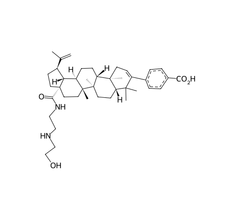 C=C(C)[C@@H]1CC[C@]2(C(=O)NCCNCCO)CC[C@]3(C)[C@H](CC[C@@H]4[C@@]5(C)CC=C(c6ccc(C(=O)O)cc6)C(C)(C)[C@@H]5CC[C@]43C)[C@@H]12